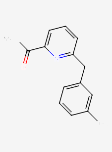 COC(=O)c1cccc(Cc2cccc(C(C)(C)C)c2)n1